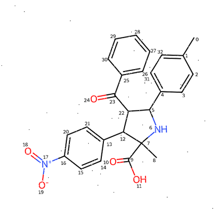 Cc1ccc(C2NC(C)(C(=O)O)C(c3ccc([N+](=O)[O-])cc3)C2C(=O)c2ccccc2)cc1